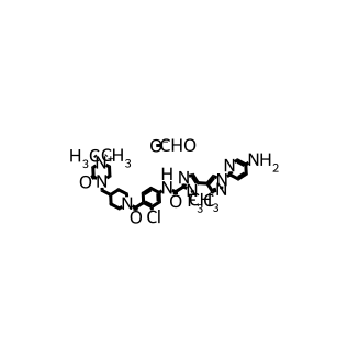 Cn1c(-c2cn(-c3ccc(N)cn3)nc2C(F)(F)F)cnc1C(=O)Nc1ccc(C(=O)N2CCC(CN3CC[N+](C)(C)CC3=O)CC2)c(Cl)c1.O=C[O-]